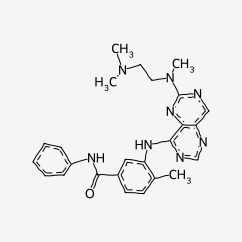 Cc1ccc(C(=O)Nc2ccccc2)cc1Nc1ncnc2cnc(N(C)CCN(C)C)nc12